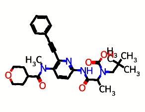 CC(C(=O)Nc1ccc(N(C)C(=O)C2CCOCC2)c(C#Cc2ccccc2)n1)N(CC(C)(C)C)C(=O)O